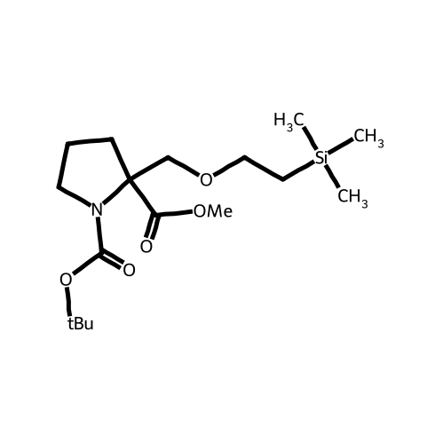 COC(=O)C1(COCC[Si](C)(C)C)CCCN1C(=O)OC(C)(C)C